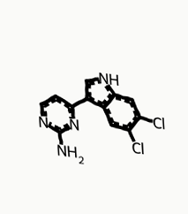 Nc1nccc(-c2c[nH]c3cc(Cl)c(Cl)cc23)n1